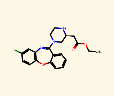 CCOC(=O)C[C@H]1CN(C2=Nc3cc(Cl)ccc3Oc3ccccc32)CCN1